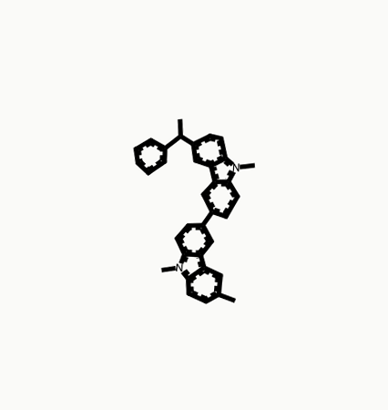 Cc1ccc2c(c1)c1cc(-c3ccc4c(c3)c3cc(C(C)c5ccccc5)ccc3n4C)ccc1n2C